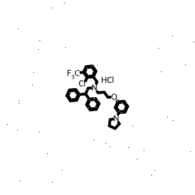 Cl.FC(F)(F)c1cccc(CN(CCCOc2cccc(N3CCCC3)c2)CC(c2ccccc2)c2ccccc2)c1Cl